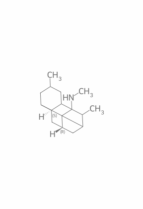 CNC12C[C@@H]3CC(C4CC(C)CC1[C@H]4C3)C2C